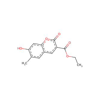 CCOC(=O)c1cc2cc(C)c(O)cc2oc1=O